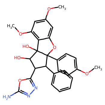 COc1ccc(C23Oc4cc(OC)cc(OC)c4C2(O)C(O)C(c2nnc(N)o2)C3c2ccccc2)cc1